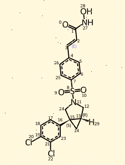 O=C(/C=C/c1ccc(S(=O)(=O)N2C[C@@H]3C[C@]3(c3ccc(Cl)c(Cl)c3)C2)cc1)NO